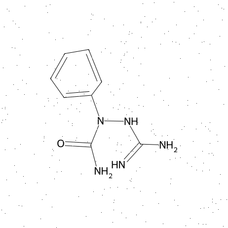 N=C(N)NN(C(N)=O)c1ccccc1